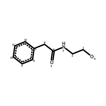 [O]CCNC(=O)Cc1ccccc1